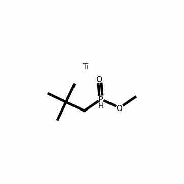 CO[PH](=O)CC(C)(C)C.[Ti]